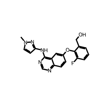 Cn1ccc(Nc2ncnc3ccc(Oc4c(F)cccc4CO)cc23)n1